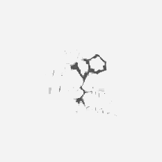 CCCCn1c(C)c([C@@H](C)[C@@H](N)C(=O)OC)c2ccccc21